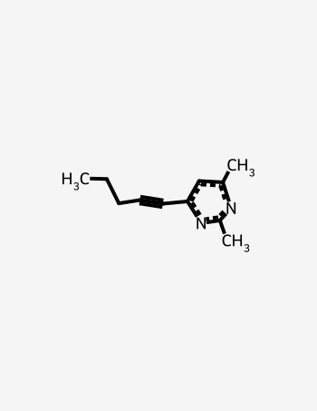 CCCC#Cc1cc(C)nc(C)n1